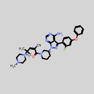 CN1CCN(C(C)(C)/C=C(/C#N)C(=O)N2CCC[C@H](n3nc(-c4ccc(Oc5ccccc5)cc4F)c4c(N)ncnc43)C2)CC1